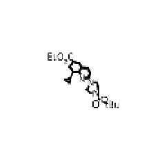 CCOC(=O)c1cc(C2CC2)c2nc(N3CCN(C(=O)OC(C)(C)C)CC3)ccc2c1